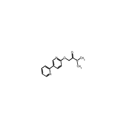 CN(C)C(=O)COc1ccc(-c2ccccn2)cn1